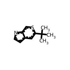 CC(C)(C)c1cc2ccnc-2cs1